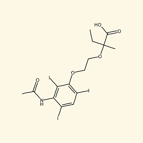 CCC(C)(OCCOc1c(I)cc(I)c(NC(C)=O)c1I)C(=O)O